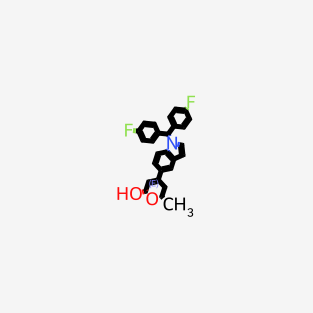 CCC/C(=C\C(=O)O)c1ccc2c(ccn2C(c2ccc(F)cc2)c2ccc(F)cc2)c1